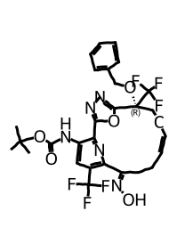 CC(C)(C)OC(=O)Nc1cc(C(F)(F)F)c2nc1-c1nnc(o1)[C@@](OCc1ccccc1)(C(F)(F)F)CCC=CCCC2=NO